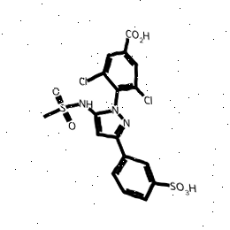 CS(=O)(=O)Nc1cc(-c2cccc(S(=O)(=O)O)c2)nn1-c1c(Cl)cc(C(=O)O)cc1Cl